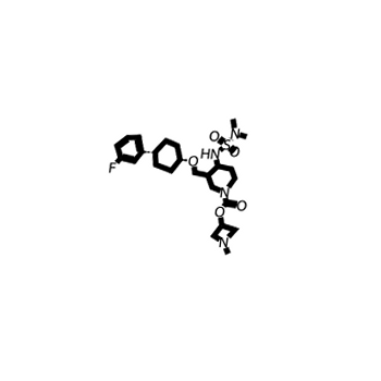 CN1CC(OC(=O)N2CCC(NS(=O)(=O)N(C)C)C(CO[C@H]3CC[C@@H](c4cccc(F)c4)CC3)C2)C1